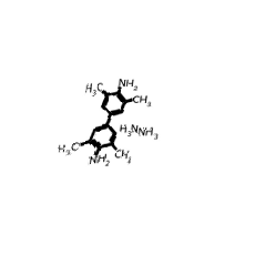 Cc1cc(-c2cc(C)c(N)c(C)c2)cc(C)c1N.N.N